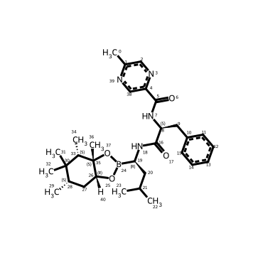 Cc1cnc(C(=O)N[C@@H](Cc2ccccc2)C(=O)N[C@@H](CC(C)C)B2O[C@@H]3C[C@H](C)C(C)(C)[C@H](C)[C@]3(C)O2)cn1